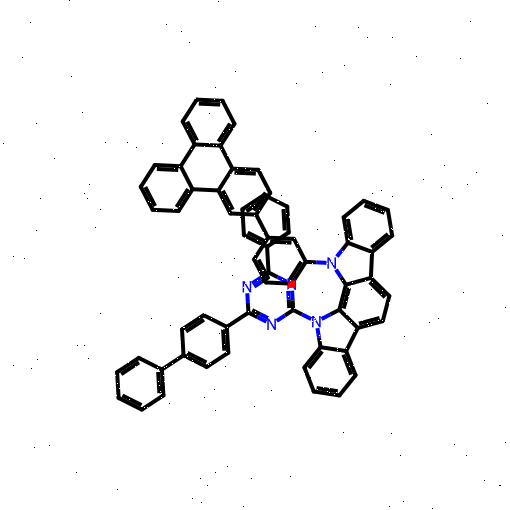 c1ccc(-c2ccc(-c3nc(-c4ccccc4)nc(-n4c5ccccc5c5ccc6c7ccccc7n(-c7cccc(-c8ccc9c%10ccccc%10c%10ccccc%10c9c8)c7)c6c54)n3)cc2)cc1